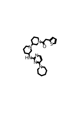 O=C(Cc1cccs1)N1CCCC(N2CCCC(Nc3nccc(N4CCCCCC4)n3)C2)C1